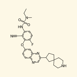 CCN(C)S(=O)(=O)Nc1ccc(F)c(Oc2ccc3ncc(C4CCC5(CCNCC5)C4)nc3c2)c1C#N